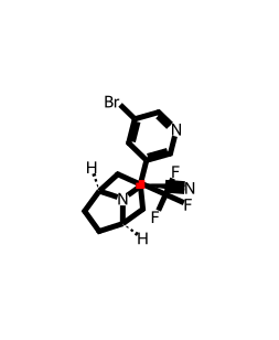 N#C[C@@]1(c2cncc(Br)c2)C[C@H]2CC[C@@H](C1)N2CC(F)(F)F